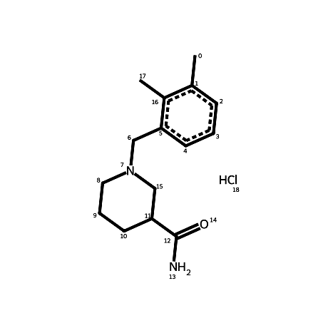 Cc1cccc(CN2CCCC(C(N)=O)C2)c1C.Cl